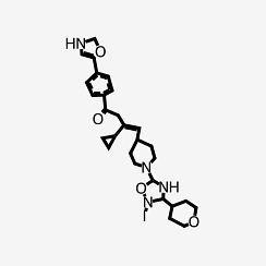 O=C(C/C(=C/C1CCN(C2NC(C3CCOCC3)N(I)O2)CC1)C1CC1)c1ccc(C2=CNCO2)cc1